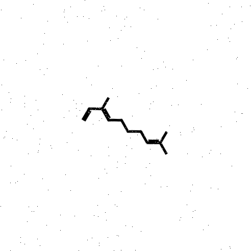 C=CC(C)=CCCCC=C(C)C